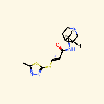 Cc1nnc(S/C=C/C(=O)N[C@H]2CN3CCC2CC3)s1